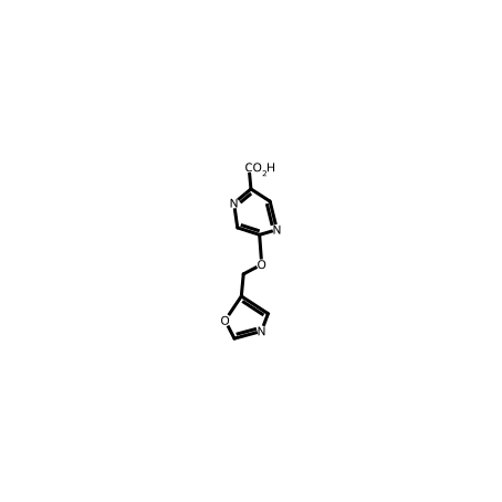 O=C(O)c1cnc(OCc2cnco2)cn1